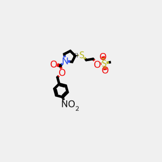 CS(=O)(=O)OCCS[C@H]1CCN(C(=O)OCc2ccc([N+](=O)[O-])cc2)C1